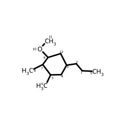 CCCC1CC(C)C(C)C(OC)C1